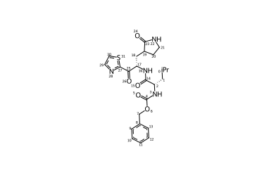 CC(C)C[C@H](NC(=O)OCc1ccccc1)C(=O)N[C@@H](CC1CCNC1=O)C(=O)c1nccs1